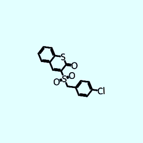 O=c1sc2ccccc2cc1S(=O)(=O)Cc1ccc(Cl)cc1